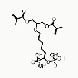 C=C(C)C(=O)OCC(COC(=O)C(=C)C)OCCCCCC(OP(=O)(O)O)P(=O)(O)O